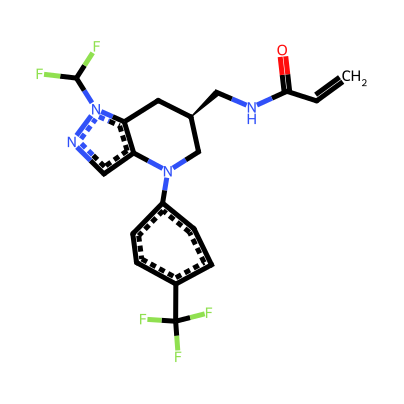 C=CC(=O)NC[C@@H]1Cc2c(cnn2C(F)F)N(c2ccc(C(F)(F)F)cc2)C1